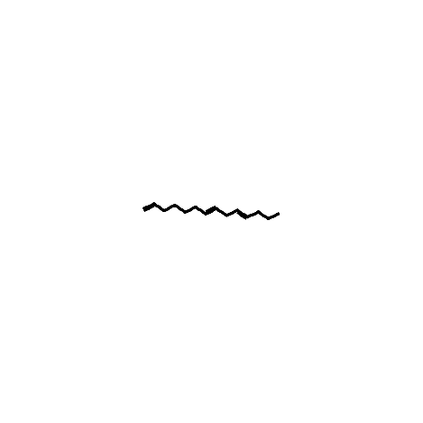 C=CCCCCC=CCC=CCCC